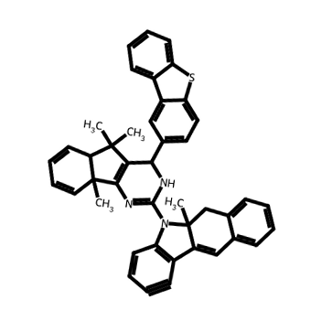 CC1(C)C2=C(N=C(N3c4ccc#cc4C4=Cc5ccccc5CC43C)NC2c2ccc3sc4ccccc4c3c2)C2(C)C=CC=CC12